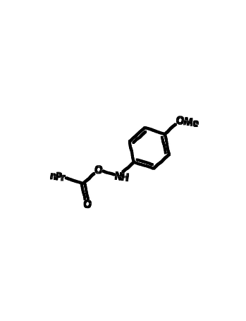 CCCC(=O)ONc1ccc(OC)cc1